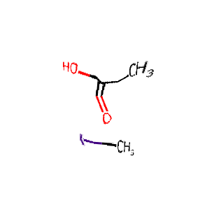 CC(=O)O.CI